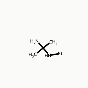 CCNC(C)(C)N